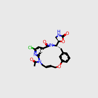 CC(=O)N1C/C=C/COc2cccc(c2)C[C@@H]([C@H]2CNC(=O)O2)NC(=O)c2cc(Cl)nc1c2